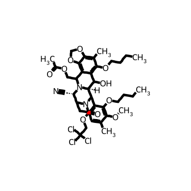 CCCCOc1c(C)c2c(c3c1C(O)[C@H]1C4c5c(cc(C)c(OC)c5OCCCC)CC([C@H](C#N)N1C3COC(C)=O)N4C(=O)OCC(Cl)(Cl)Cl)OCO2